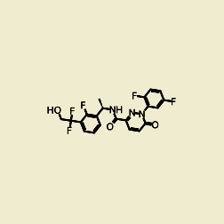 C[C@@H](NC(=O)c1ccc(=O)n(-c2cc(F)ccc2F)n1)c1cccc(C(F)(F)CO)c1F